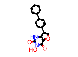 O=c1[nH]c2c(-c3ccc(-c4ccccc4)cc3)coc2c(=O)n1O